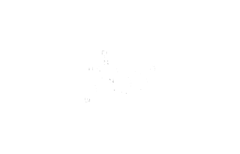 CCN(C)CC(c1cccc(Cl)c1)n1ccc(Br)cc1=O